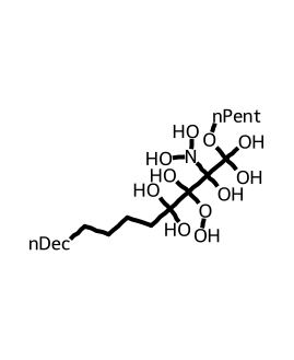 CCCCCCCCCCCCCCC(O)(O)C(O)(OO)C(O)(N(O)O)C(O)(O)OCCCCC